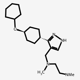 CNCCN(C)Cc1c[nH]nc1[C@H]1CC[C@H](OC2CCCCC2)CC1